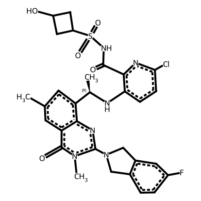 Cc1cc([C@@H](C)Nc2ccc(Cl)nc2C(=O)NS(=O)(=O)C2CC(O)C2)c2nc(N3Cc4ccc(F)cc4C3)n(C)c(=O)c2c1